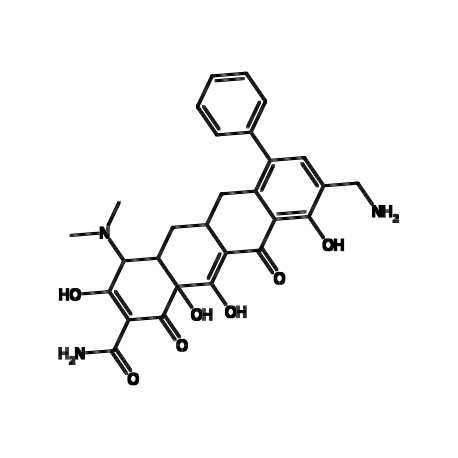 CN(C)C1C(O)=C(C(N)=O)C(=O)C2(O)C(O)=C3C(=O)c4c(O)c(CN)cc(-c5ccccc5)c4CC3CC12